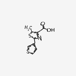 Cc1sc(-c2ccsc2)nc1C(=O)O